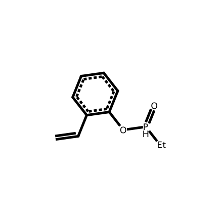 C=Cc1ccccc1O[PH](=O)CC